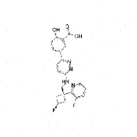 O=C(O)c1cc(-c2ccc(NC[C@]3(c4ncccc4F)C[C@H](F)C3)nn2)ccc1O